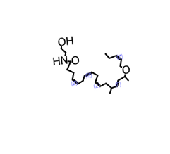 CC/C=C\COC(C)/C=C/C(C)C/C=C\C/C=C\C/C=C\CCC(=O)NCCO